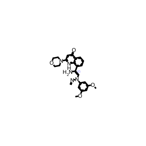 C=NN(/C=C(\N)c1cccc2c(=O)cc(N3CCOCC3)[nH]c12)c1cc(OC)cc(OC)c1